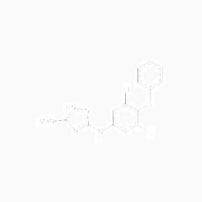 CNc1nc(Nc2cc(Cl)c(Sc3ccccc3)c(Cl)c2)n[nH]1